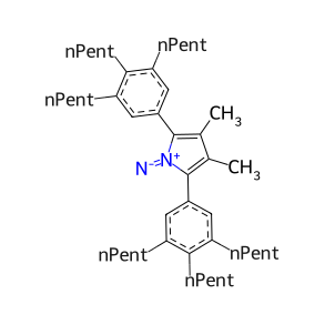 CCCCCc1cc(C2=C(C)C(C)=C(c3cc(CCCCC)c(CCCCC)c(CCCCC)c3)[N+]2=[N-])cc(CCCCC)c1CCCCC